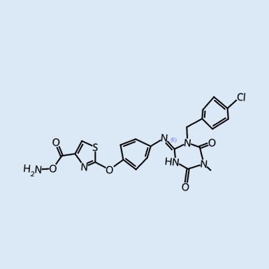 Cn1c(=O)[nH]/c(=N\c2ccc(Oc3nc(C(=O)ON)cs3)cc2)n(Cc2ccc(Cl)cc2)c1=O